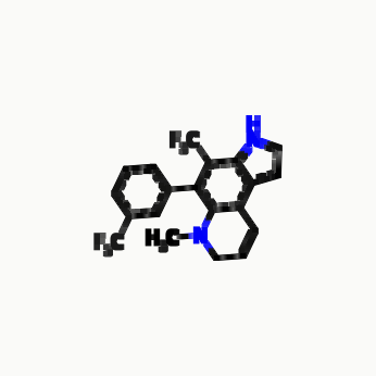 CN1CC=Cc2c1c(-c1cccc(C(F)(F)F)c1)c(C(F)(F)F)c1[nH]ccc21